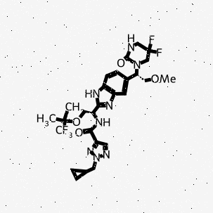 COC[C@H](c1ccc2[nH]c([C@H](COC(C)(C)C(F)(F)F)NC(=O)c3cnn(CC4CC4)n3)nc2c1)N1CC(F)(F)CNC1=O